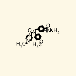 CCN1CCN(C(=O)N(Cc2ccc(C(=O)NN)cc2)c2ccc(OC)cc2)CC1